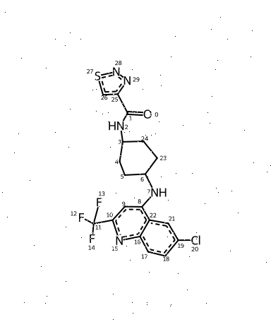 O=C(NC1CCC(Nc2cc(C(F)(F)F)nc3ccc(Cl)cc23)CC1)c1csnn1